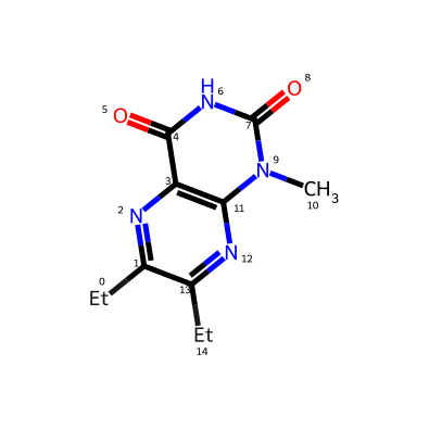 CCc1nc2c(=O)[nH]c(=O)n(C)c2nc1CC